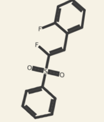 O=S(=O)(/C(F)=C/c1ccccc1F)c1ccccc1